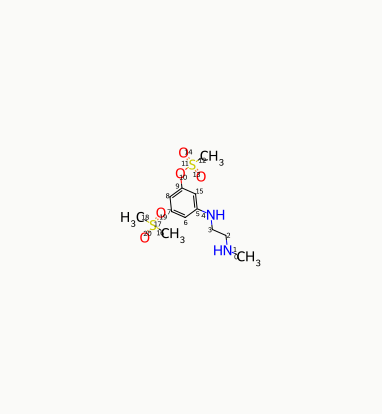 CNCCNc1cccc(OS(C)(=O)=O)c1.CS(C)(=O)=O